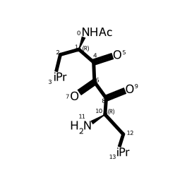 CC(=O)N[C@H](CC(C)C)C(=O)C(=O)C(=O)[C@H](N)CC(C)C